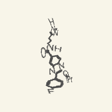 CC(C)Oc1nc2ccc(C(=O)NCCCc3c[nH]cn3)cc2nc1-c1ccc(F)cc1